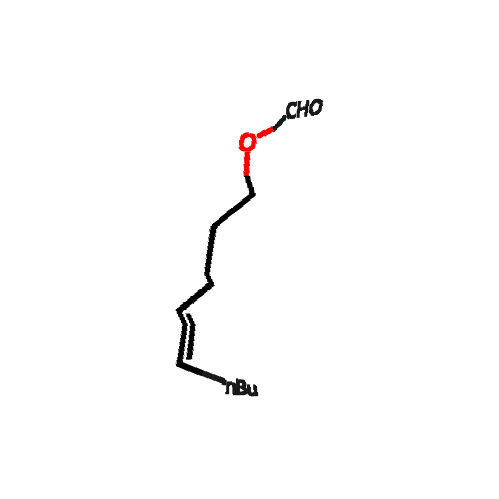 CCCC/C=C\CCCOC=O